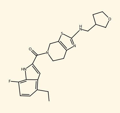 CCc1ccc(F)c2[nH]c(C(=O)N3CCc4nc(NCC5CCOC5)sc4C3)cc12